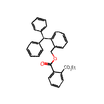 CCOC(=O)c1ccccc1C(=O)OCc1ccccc1C(c1ccccc1)c1ccccc1